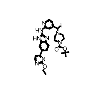 CCOc1nccc(-c2ccc3nc(Nc4cc(C(I)N5CCN(C(=O)OC(C)(C)C)CC5)ccn4)[nH]c3c2)n1